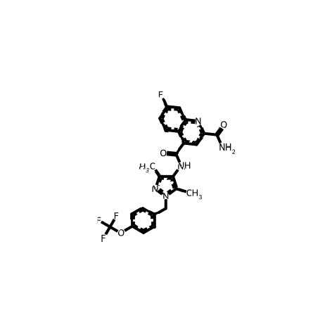 Cc1nn(Cc2ccc(OC(F)(F)F)cc2)c(C)c1NC(=O)c1cc(C(N)=O)nc2cc(F)ccc12